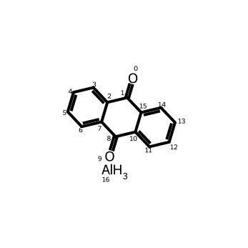 O=C1c2ccccc2C(=O)c2ccccc21.[AlH3]